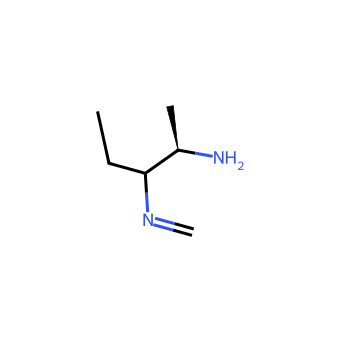 C=NC(CC)[C@@H](C)N